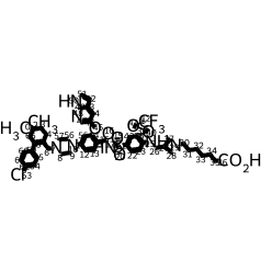 CC1(C)CCC(CN2CCN(c3ccc(C(=O)NS(=O)(=O)c4ccc(NCC5CN(CCCCCCC(=O)O)C5)c(S(=O)(=O)C(F)(F)F)c4)c(Oc4cnc5[nH]ccc5c4)c3)CC2)=C(c2ccc(Cl)cc2)C1